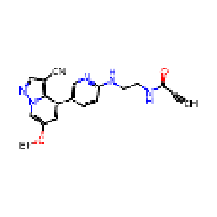 C#CC(=O)NCCNc1ccc(-c2cc(OCC)cn3ncc(C#N)c23)cn1